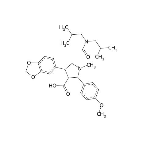 CC(C)CN(C=O)CC(C)C.COc1ccc(C2C(C(=O)O)C(c3ccc4c(c3)OCO4)CN2C)cc1